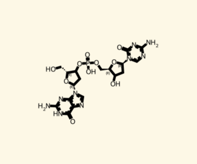 Nc1ncn([C@H]2CC(O)[C@@H](COP(=O)(O)OC3C[C@H](n4cnc5c(=O)[nH]c(N)nc54)O[C@@H]3CO)O2)c(=O)n1